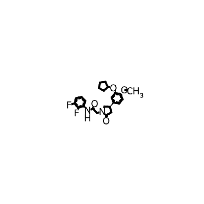 COc1ccc([C@H]2CC(=O)N(CC(=O)Nc3cccc(F)c3F)C2)cc1OC1CCCC1